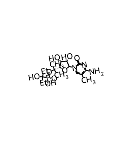 CCC(O)(CC)P(=O)(O)OC(C)(C)[C@H]1OC(n2cc(C)c(N)nc2=O)[C@H](O)[C@@H]1O